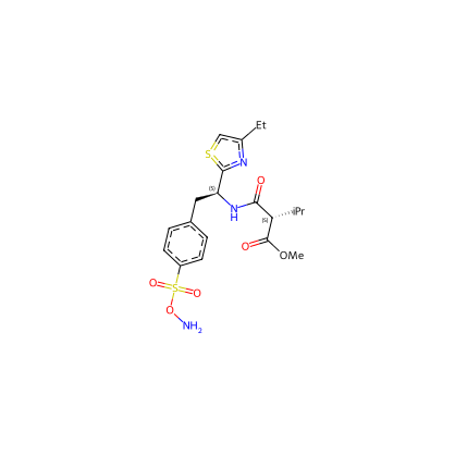 CCc1csc([C@H](Cc2ccc(S(=O)(=O)ON)cc2)NC(=O)[C@@H](C(=O)OC)C(C)C)n1